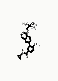 Cc1ccc(C(=O)NC2CC2)cc1-c1ccc2c(OCC(C)(C)C)nncc2c1